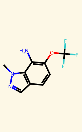 Cn1ncc2ccc(OC(F)(F)F)c(N)c21